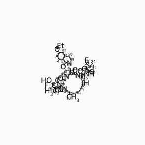 CCOc1ccc2c(O[C@@H]3C[C@H]4C(=O)N[C@]5(C(=O)NS(=O)(=O)C6(CF)CC6)C[C@H]5C=CCC[C@H](C)C[C@@H](C)[C@H](N(C(=O)O)C(C)(C)C(F)(F)F)C(=O)N4C3)nccc2c1